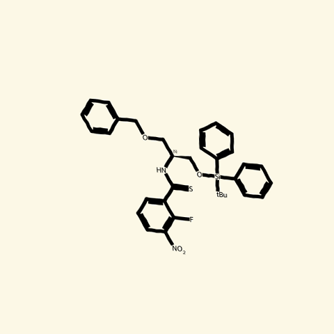 CC(C)(C)[Si](OC[C@H](COCc1ccccc1)NC(=S)c1cccc([N+](=O)[O-])c1F)(c1ccccc1)c1ccccc1